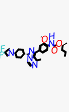 CCC[C@H](C)OC(=O)Nc1ccc(-c2nc([C@H]3CC[C@H](N4CC(F)(F)C4)CC3)n3ccnc(C)c23)cc1OC